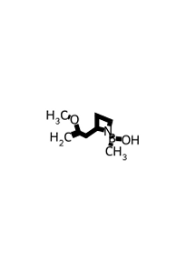 C=C(CC1CCN1B(C)O)OC